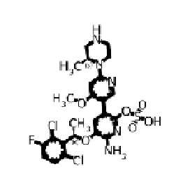 COc1cc(N2CCNC[C@@H]2C)ncc1-c1cc(O[C@H](C)c2c(Cl)ccc(F)c2Cl)c(N)nc1OS(=O)(=O)O